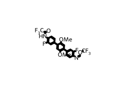 COc1cc(-c2ccc(NC(=O)C(F)(F)F)c(F)c2)c(OC)cc1-c1ccc(/N=C\OC(F)(F)F)c(F)c1